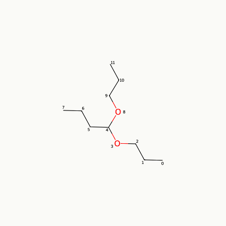 CCCOC(CCC)OCCC